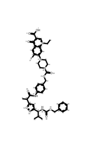 CCn1cc(C(=O)O)c(=O)c2cc(F)c(N3CCN(C(=O)OCc4ccc(NC(=O)C(C)c5cc([C@@H](NC(=O)OCc6ccccc6)C(C)C)no5)cc4)CC3)cc21